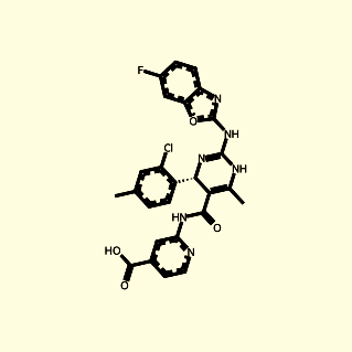 CC1=C(C(=O)Nc2cc(C(=O)O)ccn2)[C@H](c2ccc(C)cc2Cl)N=C(Nc2nc3ccc(F)cc3o2)N1